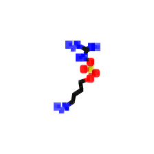 N=C(N)NOS(=O)(=O)OCCCCN